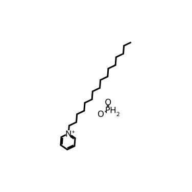 CCCCCCCCCCCCCCCC[n+]1ccccc1.O=[PH2][O-]